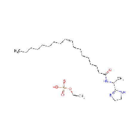 CCCCCCCC/C=C\CCCCCCCC(=O)NC(C)C1=NCCN1.CCOS(=O)(=O)O